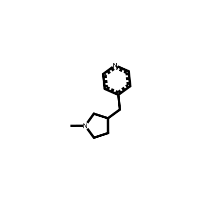 CN1CCC(Cc2ccncc2)C1